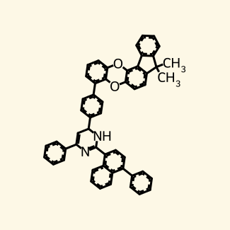 CC1(C)c2ccccc2-c2c1ccc1c2Oc2cccc(-c3ccc(C4C=C(c5ccccc5)N=C(c5ccc(-c6ccccc6)c6ccccc56)N4)cc3)c2O1